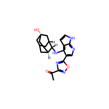 CC(=O)c1noc(-c2cnc3[nH]ccc3c2N[C@H]2[C@@H]3CC4C[C@H]2C[C@@](O)(C4)C3)n1